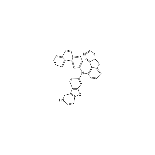 C1=Cc2oc3cc(N(c4ccc5ccc6ccccc6c5c4)c4cccc5oc6ccncc6c45)ccc3c2CN1